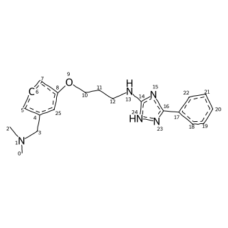 CN(C)Cc1cccc(OCCCNc2nc(-c3ccccc3)n[nH]2)c1